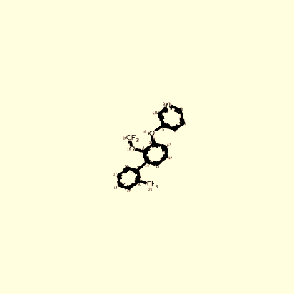 FC(F)(F)Oc1c(Oc2cccnc2)[c]ccc1-c1ccccc1C(F)(F)F